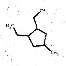 CCC1CC(C)CC1CC